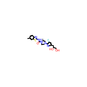 Cc1ccc2nc(NC(=O)N3CCN(c4ncc(C[C@H](O)CO)cc4F)C[C@@H]3C)sc2c1